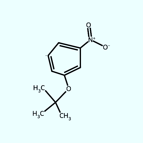 CC(C)(C)Oc1c[c]cc([N+](=O)[O-])c1